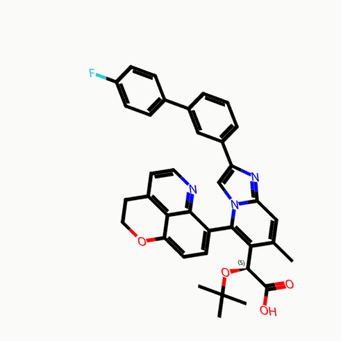 Cc1cc2nc(-c3cccc(-c4ccc(F)cc4)c3)cn2c(-c2ccc3c4c(ccnc24)CCO3)c1[C@H](OC(C)(C)C)C(=O)O